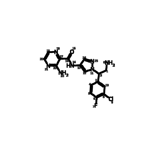 NCC(c1ccc(F)c(Cl)c1)n1cc(NC(=O)c2nccnc2N)cn1